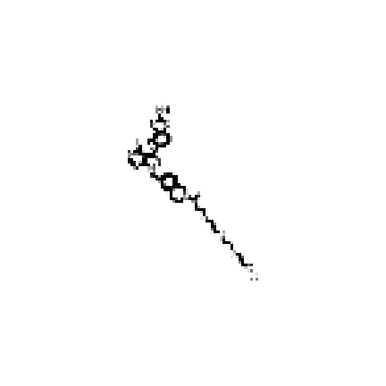 CCOCCOCCOCCOCCC(=O)N1CCc2cc(Cn3nc(-c4ccc5oc(N)nc5c4)c4c(N)ncnc43)ccc2C1